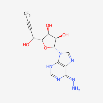 NN=c1nc[nH]c2c1ncn2[C@@H]1O[C@H](C(O)C#CC(F)(F)F)[C@@H](O)[C@H]1O